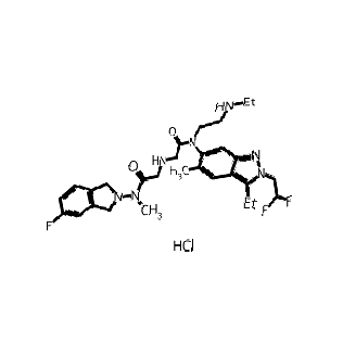 CCNCCN(C(=O)CNCC(=O)N(C)N1Cc2ccc(F)cc2C1)c1cc2nn(CC(F)F)c(CC)c2cc1C.Cl